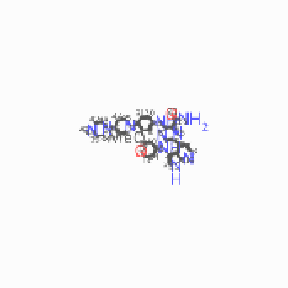 COc1cc(Nc2nc(NC3CCOCC3)c(-c3ccnc4[nH]ccc34)nc2C(N)=O)ccc1N1CCC(N2CCN(C)CC2)CC1